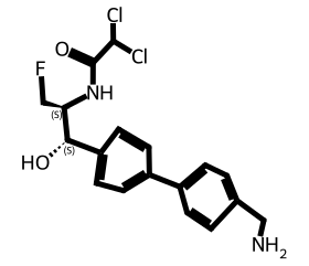 NCc1ccc(-c2ccc([C@H](O)[C@@H](CF)NC(=O)C(Cl)Cl)cc2)cc1